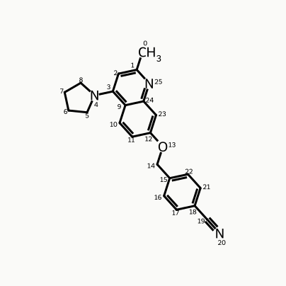 Cc1cc(N2CCCC2)c2ccc(OCc3ccc(C#N)cc3)cc2n1